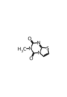 Cn1c(=O)nc2sccn2c1=O